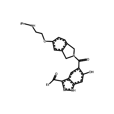 CCC(=O)c1n[nH]c2cc(O)c(C(=O)N3Cc4ccc(OCCNC(C)C)cc4C3)cc12